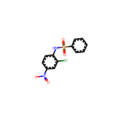 O=[N+]([O-])c1ccc(NS(=O)(=O)c2ccccc2)c(Cl)c1